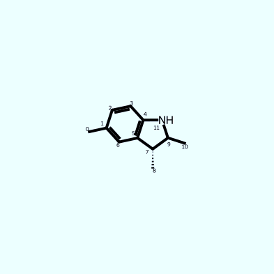 Cc1ccc2c(c1)[C@@H](C)C(C)N2